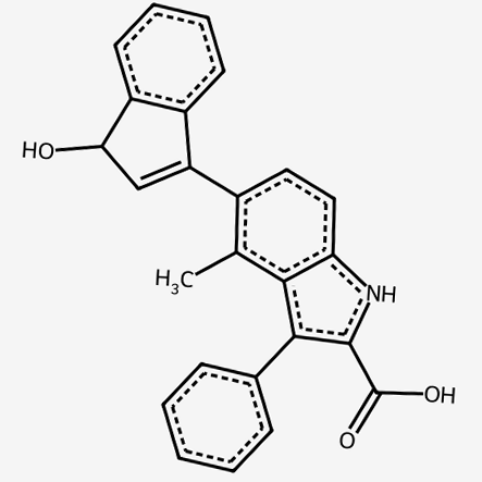 Cc1c(C2=CC(O)c3ccccc32)ccc2[nH]c(C(=O)O)c(-c3ccccc3)c12